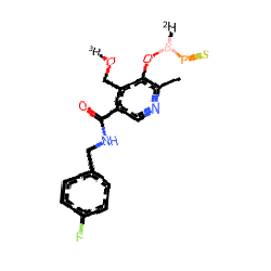 [2H]B(Oc1c(C)ncc(C(=O)NCc2ccc(F)cc2)c1CO[3H])P=S